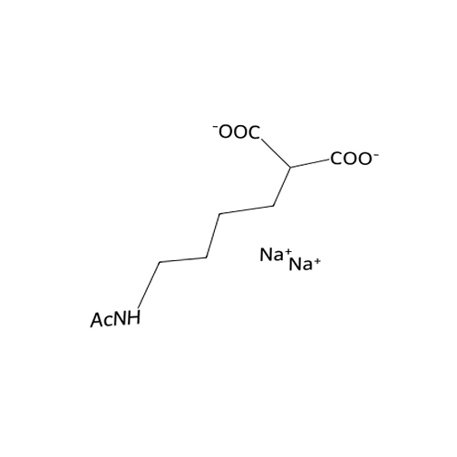 CC(=O)NCCCCC(C(=O)[O-])C(=O)[O-].[Na+].[Na+]